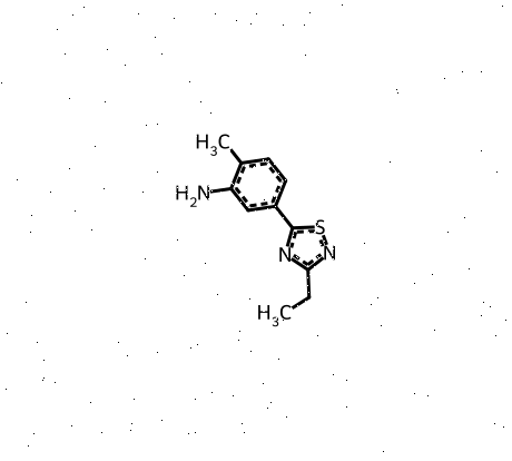 CCc1nsc(-c2ccc(C)c(N)c2)n1